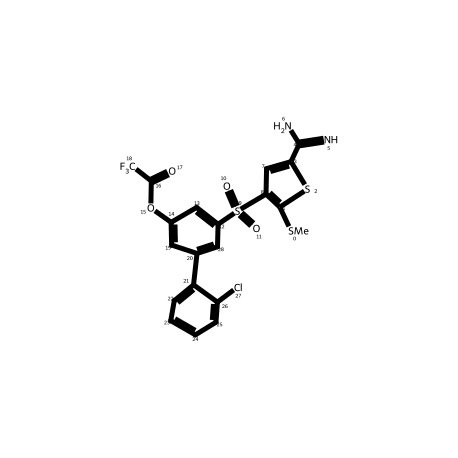 CSc1sc(C(=N)N)cc1S(=O)(=O)c1cc(OC(=O)C(F)(F)F)cc(-c2ccccc2Cl)c1